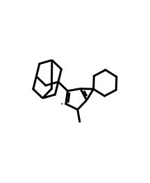 CC1[C]=C(C23CC4CC(CC(C4)C2)C3)C2=C1C21CCCCC1